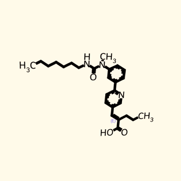 CCCCCCCNC(=O)N(C)c1cccc(-c2ccc(/C=C(\CCC)C(=O)O)cn2)c1